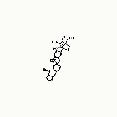 CC/N=C1\CCC=C1OC1=CCC(C)(Cc2cc([C@]34OC[C@](CO)(O3)[C@@H](O)[C@H](O)[C@H]4O)ccc2Cl)C=C1